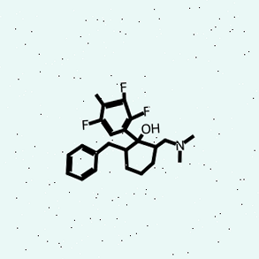 Cc1c(F)cc(C2(O)C(Cc3ccccc3)CCCC2CN(C)C)c(F)c1F